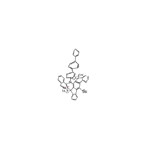 CC(C)(C)c1c2c(c(N(c3ccc(-c4ccc(-c5ccccc5)cc4)cc3)c3cccc4ccccc34)c3c1-c1ccccc1C3(C)C)C(C)(C)c1ccccc1-2